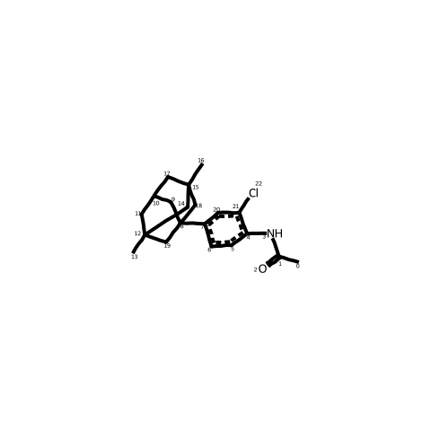 CC(=O)Nc1ccc(C23CC4CC(C)(CC(C)(C4)C2)C3)cc1Cl